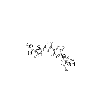 CCC(CCc1cc(C)c(C(=O)OC)s1)c1ccc(OCC(O)(CC)CC)c(C)c1